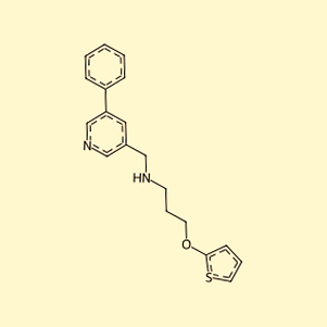 c1ccc(-c2cncc(CNCCCOc3cccs3)c2)cc1